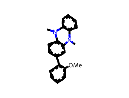 COc1ccccc1-c1ccc2c(c1)N(C)c1ccccc1N2C